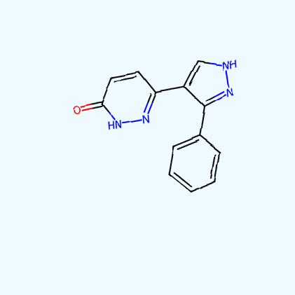 O=c1ccc(-c2c[nH]nc2-c2ccccc2)n[nH]1